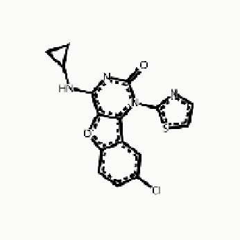 O=c1nc(NC2CC2)c2oc3ccc(Cl)cc3c2n1-c1nccs1